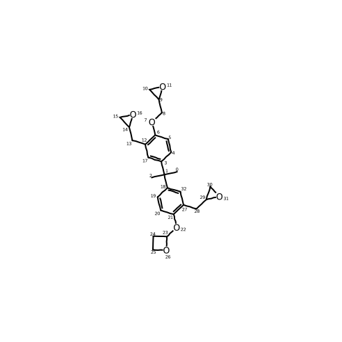 CC(C)(c1ccc(OCC2CO2)c(CC2CO2)c1)c1ccc(OC2CCO2)c(CC2CO2)c1